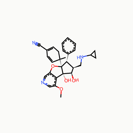 COc1cncc2c1[C@]1(O)[C@H](O)[C@H](CNC3CC3)[C@@H](c3ccccc3)[C@]1(C1(C)C=CC(C#N)=CC1)O2